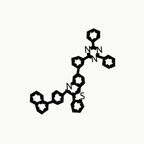 c1ccc(-c2nc(-c3ccccc3)nc(-c3cccc(-c4ccc5c(c4)nc(-c4ccc(-c6cccc7ccccc67)cc4)c4c6ccccc6sc54)c3)n2)cc1